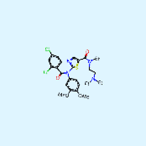 CCN(CC)CCN(CC)C(=O)c1cnc(N(C(=O)c2ccc(Cl)cc2Cl)c2ccc(OC)c(OC)c2)s1